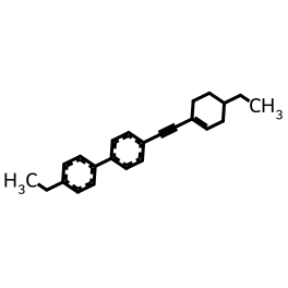 CCc1ccc(-c2ccc(C#CC3=CCC(CC)CC3)cc2)cc1